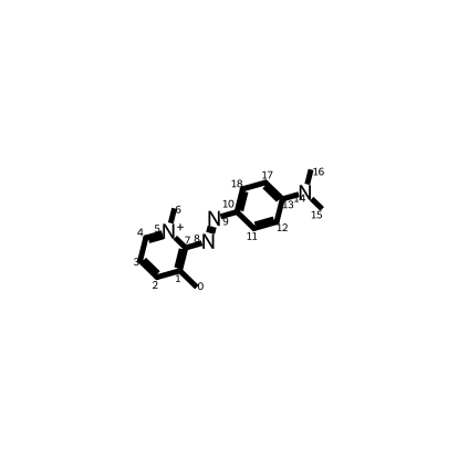 Cc1ccc[n+](C)c1N=Nc1ccc(N(C)C)cc1